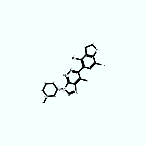 Cc1c(-c2cc(F)c3c(c2O)CCO3)nnc2c1ncn2[C@@H]1CCCN(C)C1